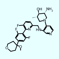 COC1(c2cc(F)c(-c3nc(CNc4cnccc4N4C[C@@H](N)[C@H](O)[C@@H](C)C4)ccc3F)c(F)c2)CCOCC1